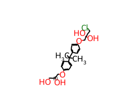 CC(C)(c1ccc(OC[C@H](O)CO)cc1)c1ccc(OCC(O)(O)CCl)cc1